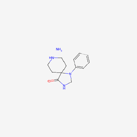 N.O=C1NCN(c2ccccc2)C12CCNCC2